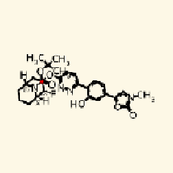 Cn1cc(-c2ccc(-c3ccc(O[C@@H]4C[C@H]5CCC[C@@H]([C@@H]4F)N5C(=O)OC(C)(C)C)nn3)c(O)c2)oc1=O